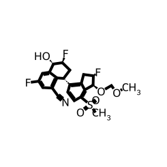 COCO[C@H]1c2c(S(C)(=O)=O)ccc([C@H]3C[C@H](F)[C@@H](O)c4cc(F)cc(C#N)c43)c2C[C@H]1F